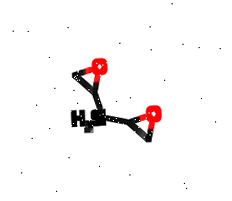 C1OC1[SiH2]C1CO1